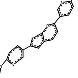 CN(C)c1ccc(-c2cc3ccc(-c4ccc(F)nc4)nc3s2)cn1